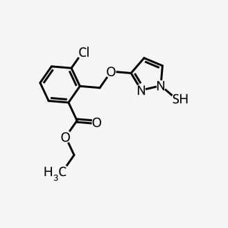 CCOC(=O)c1cccc(Cl)c1COc1ccn(S)n1